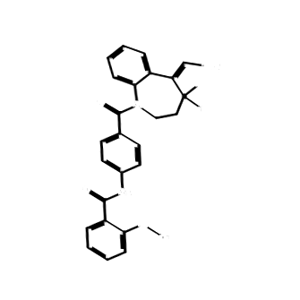 CC(C)Oc1ccccc1C(=O)Nc1ccc(C(=O)N2CCC(F)(F)/C(=C\C(=O)O)c3ccccc32)cc1